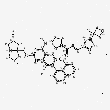 CN(c1nc(OC[C@@]23CCCN2C[C@H](F)C3)nc2c(F)c(-c3cccc4cccc(Cl)c34)ncc12)[C@@H]1CCN(C(=O)/C=C/c2nc(C3(C)COC3)no2)C1